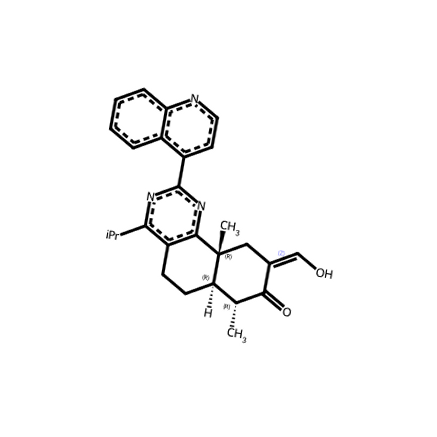 CC(C)c1nc(-c2ccnc3ccccc23)nc2c1CC[C@@H]1[C@@H](C)C(=O)/C(=C\O)C[C@@]21C